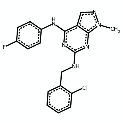 Cn1ncc2c(Nc3ccc(F)cc3)nc(NCc3ccccc3Cl)nc21